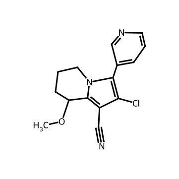 COC1CCCn2c(-c3cccnc3)c(Cl)c(C#N)c21